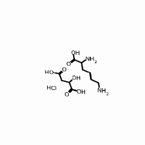 Cl.NCCCCC(N)C(=O)O.O=C(O)CC(O)C(=O)O